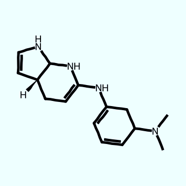 CN(C)C1C=CC=C(NC2=CC[C@@H]3C=CNC3N2)C1